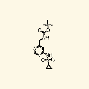 CC(C)(C)OC(=O)NCc1cc(NS(=O)(=O)C2CC2)ncn1